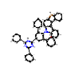 c1ccc(-c2nc(-c3ccccc3)nc(-c3cc(-c4ccccc4)c(-n4c5ccccc5c5c6c(ccc54)sc4ccccc46)c(-c4ccccc4)c3)n2)cc1